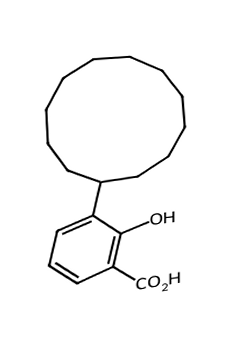 O=C(O)c1cccc(C2CCCCCCCCCCC2)c1O